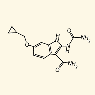 NC(=O)Nc1[nH]c2cc(OCC3CC3)ccc2c1C(N)=O